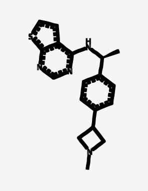 C[C@H](Nc1ncnc2sccc12)c1ccc(C2CN(C)C2)cc1